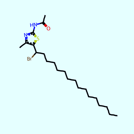 CCCCCCCCCCCCCCCC(Br)c1sc(NC(C)=O)nc1C